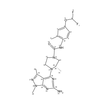 Cc1cc(OC(F)F)ccc1NC(=O)N1CCN(c2nc(N)nc3c2c(C)nn3C)[C@@H](C)C1